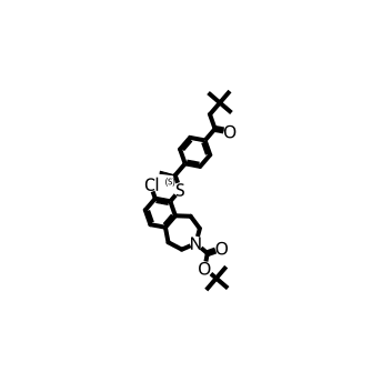 C[C@H](Sc1c(Cl)ccc2c1CCN(C(=O)OC(C)(C)C)CC2)c1ccc(C(=O)CC(C)(C)C)cc1